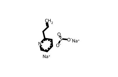 C=CCc1ccccn1.O=S([O-])[O-].[Na+].[Na+]